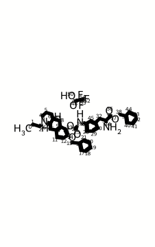 CCCN1CCC[C@@H]2Cc3c(ccc(OCc4ccccc4)c3OC(=O)Nc3cccc(CC(N)C(=O)OCc4ccccc4)c3)C[C@H]21.O=C(O)C(F)(F)F